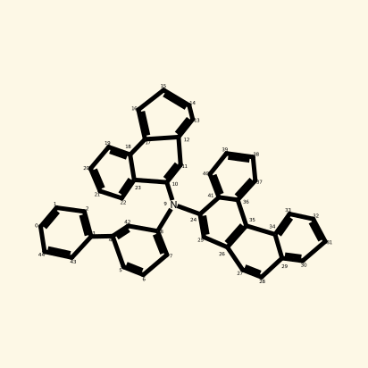 c1ccc(-c2cccc(N(c3cc4ccccc4c4ccccc34)c3cc4ccc5ccccc5c4c4ccccc34)c2)cc1